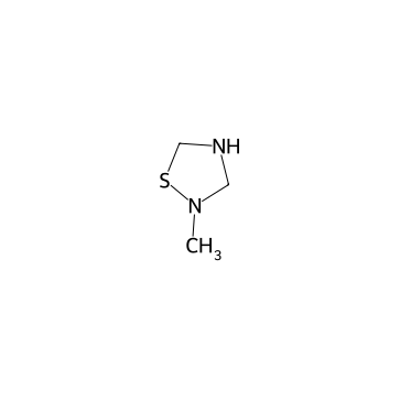 CN1CNCS1